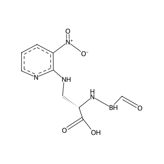 O=CBN[C@@H](CNc1ncccc1[N+](=O)[O-])C(=O)O